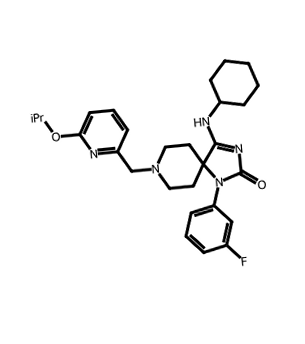 CC(C)Oc1cccc(CN2CCC3(CC2)C(NC2CCCCC2)=NC(=O)N3c2cccc(F)c2)n1